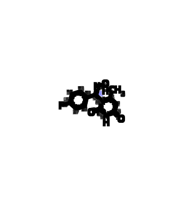 Cc1cc(=O)[nH]c(=O)n1/C(=N\O)c1ccc(F)cc1